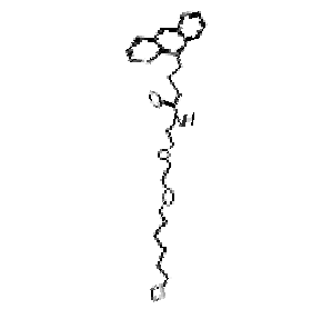 O=C(CCCc1c2ccccc2cc2ccccc12)NCCOCCOCCCCCCCl